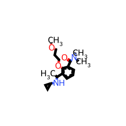 COCCCOc1c(C(=O)N(C)C)cccc1C(C)NC1CC1